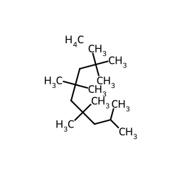 C.CC(C)CC(C)(C)CC(C)(C)CC(C)(C)C